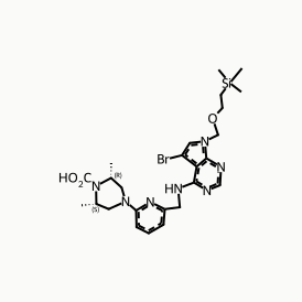 C[C@@H]1CN(c2cccc(CNc3ncnc4c3c(Br)cn4COCC[Si](C)(C)C)n2)C[C@H](C)N1C(=O)O